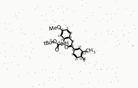 COc1ccc(CC(=O)c2ccc(F)c(C)c2)c(NC(=O)OC(C)(C)C)c1